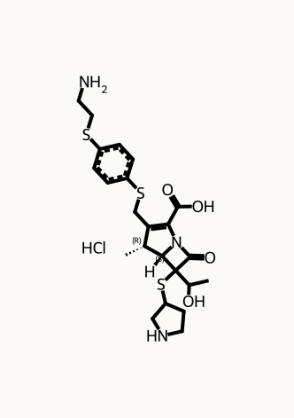 CC(O)C1(SC2CCNC2)C(=O)N2C(C(=O)O)=C(CSc3ccc(SCCN)cc3)[C@@H](C)[C@H]21.Cl